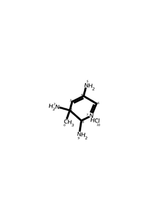 CC1(N)C=C(N)C=NC1N.Cl